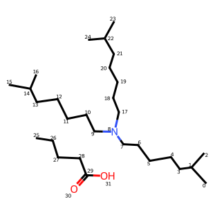 CC(C)CCCCCN(CCCCCC(C)C)CCCCCC(C)C.CCCCC(=O)O